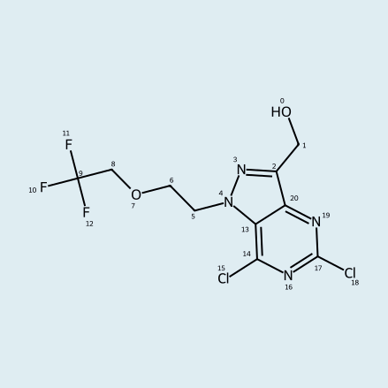 OCc1nn(CCOCC(F)(F)F)c2c(Cl)nc(Cl)nc12